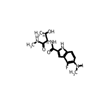 CNC(=O)[C@@H](NC(=O)c1cc2c(F)c(N(C)I)ccc2[nH]1)[C@@H](C)O